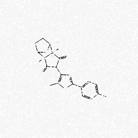 Cc1sc(-c2ccc(I)cc2)nc1C1C(=O)[C@@H]2[C@H](C1=O)[C@H]1CC[C@@H]2O1